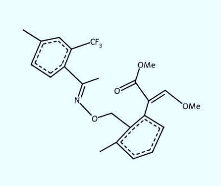 CO/C=C(/C(=O)OC)c1cccc(C)c1CO/N=C(\C)c1ccc(C)cc1C(F)(F)F